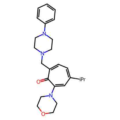 CC(C)c1ccc(CN2CCN(c3ccccc3)CC2)c(=O)c(N2CCOCC2)c1